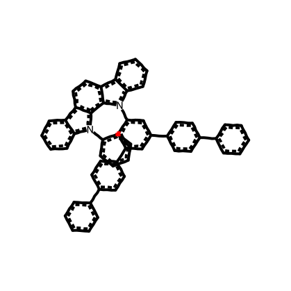 c1ccc(-c2ccc(-c3cc(-c4ccc(-c5ccccc5)cc4)cc(-n4c5ccccc5c5ccc6c7ccccc7n(-c7ccccc7)c6c54)c3)cc2)cc1